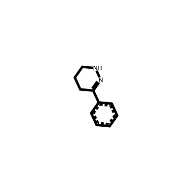 c1ccc(C2=NNCCC2)cc1